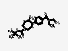 CCN(CC)C(=O)c1ccc([C@H]2CCN(C(=O)OC(C)(C)C)CC[C@@H]2C)cc1